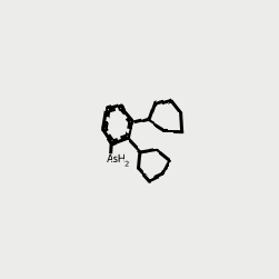 [AsH2]c1cccc(C2CCCCC2)c1C1CCCCC1